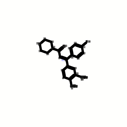 COc1ccc(/C(=C/C(=O)N2CCOCC2)c2ccc(F)cc2)cc1OC